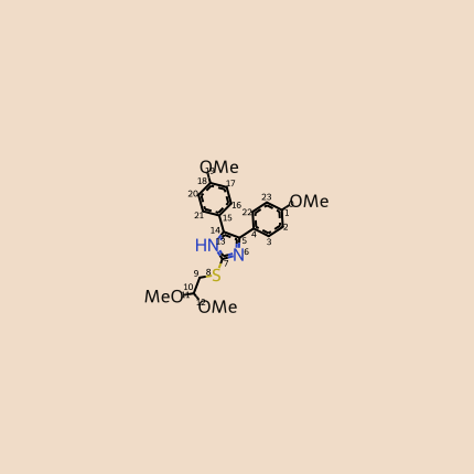 COc1ccc(-c2nc(SCC(OC)OC)[nH]c2-c2ccc(OC)cc2)cc1